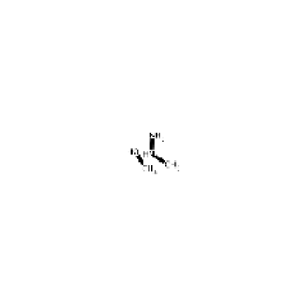 CNN.CO